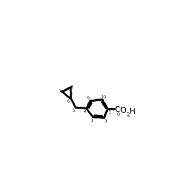 O=C(O)c1ccc(CC2CC2)cc1